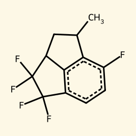 CC1CC2c3c(ccc(F)c31)C(F)(F)C2(F)F